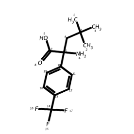 CC(C)(C)CC(N)(C(=O)O)c1ccc(C(F)(F)F)cc1